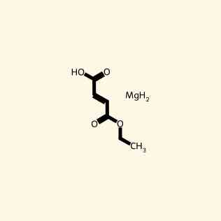 CCOC(=O)C=CC(=O)O.[MgH2]